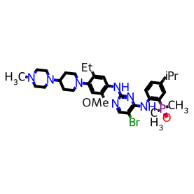 CCc1cc(Nc2ncc(Br)c(Nc3ccc(C(C)C)cc3P(C)(C)=O)n2)c(OC)cc1N1CCC(N2CCN(C)CC2)CC1